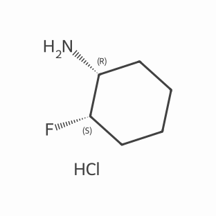 Cl.N[C@@H]1CCCC[C@@H]1F